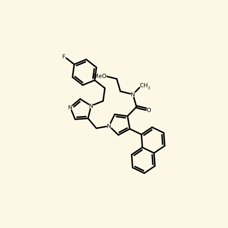 COCCN(C)C(=O)c1cn(Cc2cncn2CCc2ccc(F)cc2)cc1-c1cccc2ccccc12